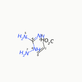 C=CC(=O)O.N=C(N)NN